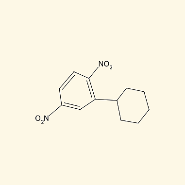 O=[N+]([O-])c1ccc([N+](=O)[O-])c(C2CCCCC2)c1